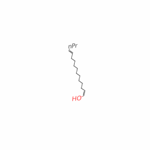 CCCC=CCCCCCCCCC/C=C\O